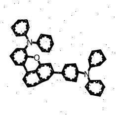 c1ccc(N(c2ccccc2)c2ccc(-c3cc4c5c(cccc5c3)-c3cccc(N(c5ccccc5)c5ccccc5)c3O4)cc2)cc1